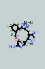 CCN/C1=C(\C(C)=N)C/C(=N/NC)C(=N)c2ccc(F)cc2[C@@H](C)Oc2cc1cnc2N